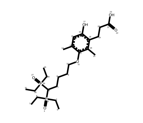 CCP(=O)(CC)C(CCCCOc1c(C)cc(O)c(CCC(=O)O)c1C)P(=O)(CC)CC